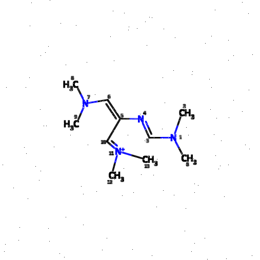 CN(C)C=NC(=CN(C)C)C=[N+](C)C